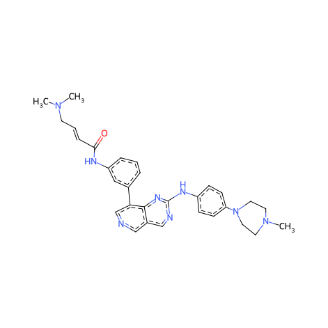 CN(C)C/C=C/C(=O)Nc1cccc(-c2cncc3cnc(Nc4ccc(N5CCN(C)CC5)cc4)nc23)c1